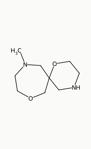 CN1CCOCC2(CNCCO2)C1